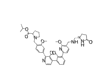 COc1cc(-c2nccc(-c3cccc(-c4ccc(CNC[C@@H]5CCC(=O)N5)c(OC)n4)c3Cl)c2Cl)ccc1CN1CCCC1C(=O)OC(C)C